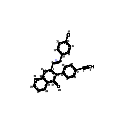 C#Cc1ccc(-n2c(/C=C/c3ccc(Cl)cc3)nc3ncccc3c2=O)cc1